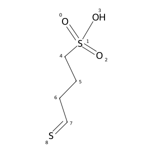 O=S(=O)(O)CCCC=S